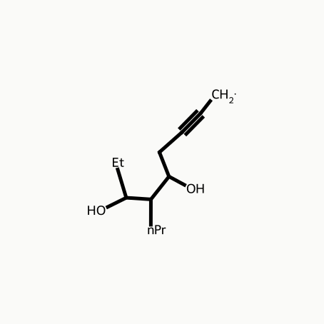 [CH2]C#CCC(O)C(CCC)C(O)CC